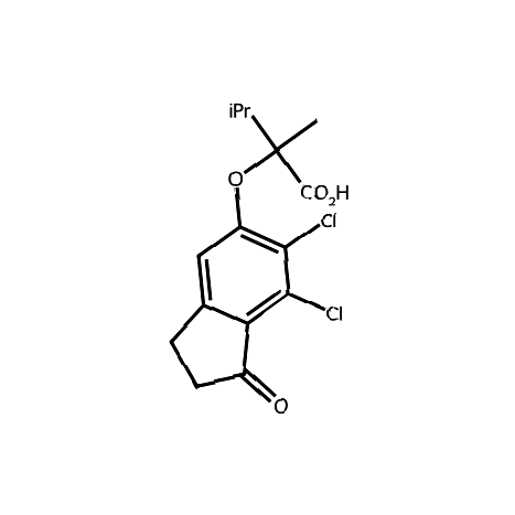 CC(C)C(C)(Oc1cc2c(c(Cl)c1Cl)C(=O)CC2)C(=O)O